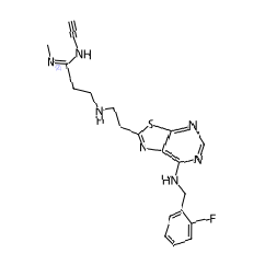 C#CN/C(CCNCCc1nc2c(NCc3ccccc3F)ncnc2s1)=N\C